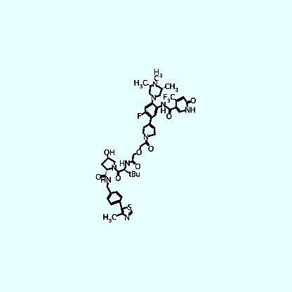 Cc1ncsc1-c1ccc(CNC(=O)[C@@H]2C[C@@H](O)CN2C(=O)[C@@H](NC(=O)COCC(=O)N2CC=C(c3cc(NC(=O)c4c[nH]c(=O)cc4C(F)(F)F)c(N4C[C@@H](C)N(C)[C@@H](C)C4)cc3F)CC2)C(C)(C)C)cc1